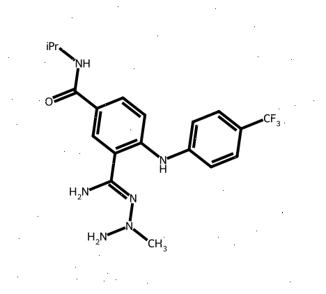 CC(C)NC(=O)c1ccc(Nc2ccc(C(F)(F)F)cc2)c(/C(N)=N/N(C)N)c1